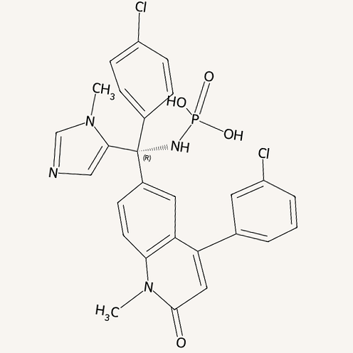 Cn1cncc1[C@@](NP(=O)(O)O)(c1ccc(Cl)cc1)c1ccc2c(c1)c(-c1cccc(Cl)c1)cc(=O)n2C